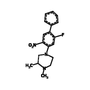 CC1CN(c2cc(F)c(-c3ccccc3)cc2[N+](=O)[O-])CCN1C